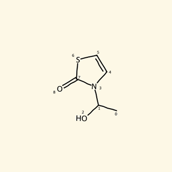 CC(O)n1ccsc1=O